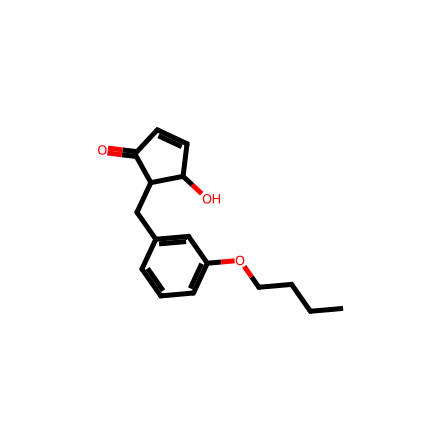 CCCCOc1cccc(CC2C(=O)C=CC2O)c1